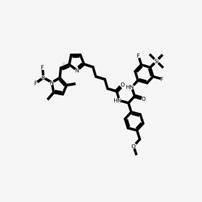 COCc1ccc(C(NC(=O)CCCCC2=N/C(=C\c3c(C)cc(C)n3B(F)F)C=C2)C(=O)Nc2cc(F)c([Si](C)(C)C)c(F)c2)cc1